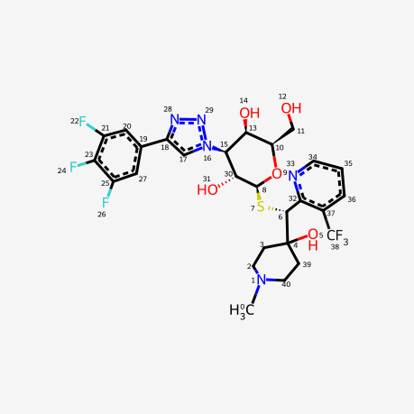 CN1CCC(O)([C@H](S[C@@H]2O[C@H](CO)[C@H](O)[C@H](n3cc(-c4cc(F)c(F)c(F)c4)nn3)[C@H]2O)c2ncccc2C(F)(F)F)CC1